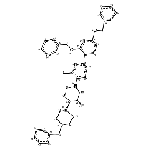 Cc1nc(-c2ccc(OCc3ccccc3)nc2OCc2ccccc2)ccc1N1CC[C@H](N2CCN(Cc3ccccc3)CC2)[C@H](F)C1